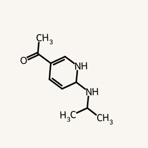 CC(=O)C1=CNC(NC(C)C)C=C1